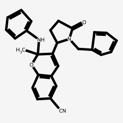 CC1(Nc2ccccc2)Oc2ccc(C#N)cc2C=C1C1CCC(=O)N1Cc1ccccc1